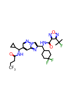 CC(C)(F)c1nonc1C(=O)N[C@H](c1cn2ncc(C(NC(=O)CCC(F)(F)F)C3CC3)cc2n1)C1CCC(F)(F)CC1